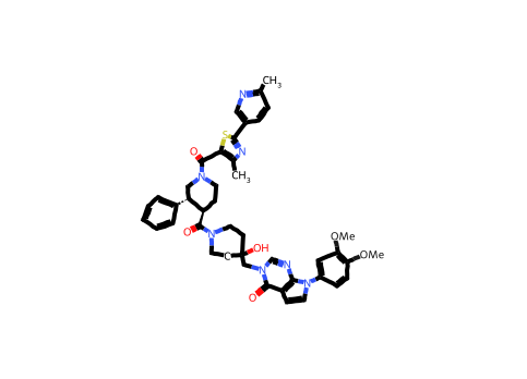 COc1ccc(-n2ccc3c(=O)n(CC4(O)CCN(C(=O)[C@@H]5CCN(C(=O)c6sc(-c7ccc(C)nc7)nc6C)C[C@H]5c5ccccc5)CC4)cnc32)cc1OC